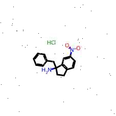 Cl.NC1(Cc2ccccc2)CCc2ccc([N+](=O)[O-])cc21